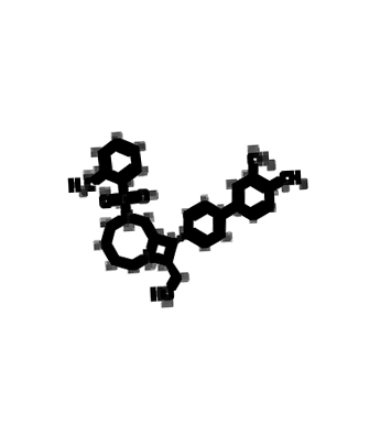 Cc1ccc(-c2ccc([C@H]3C4CN(S(=O)(=O)c5ccccc5C)CCCCN4[C@@H]3CO)cc2)cc1C